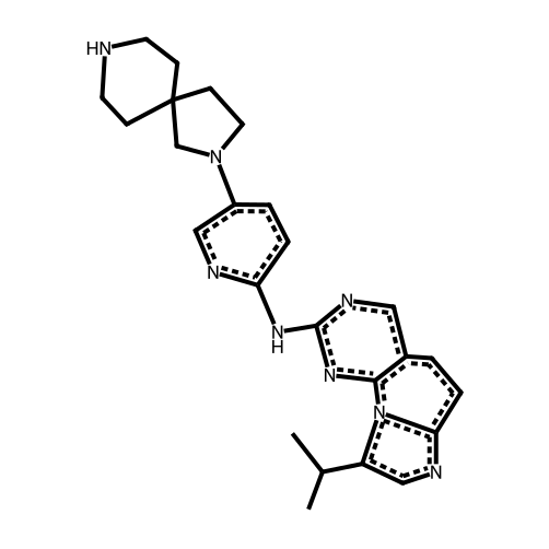 CC(C)c1cnc2ccc3cnc(Nc4ccc(N5CCC6(CCNCC6)C5)cn4)nc3n12